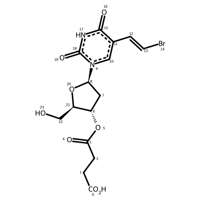 O=C(O)CCC(=O)O[C@H]1C[C@H](n2cc(C=CBr)c(=O)[nH]c2=O)O[C@@H]1CO